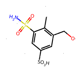 Cc1c(C[O])cc(S(=O)(=O)O)cc1S(N)(=O)=O